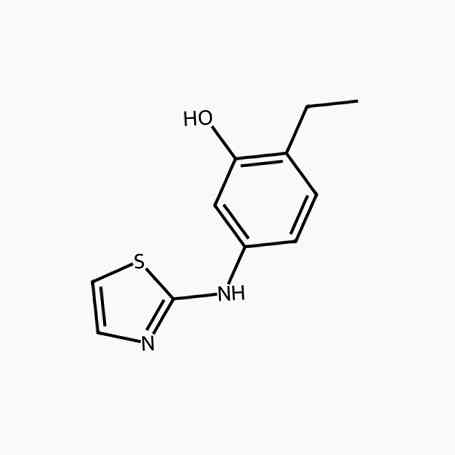 CCc1ccc(Nc2nccs2)cc1O